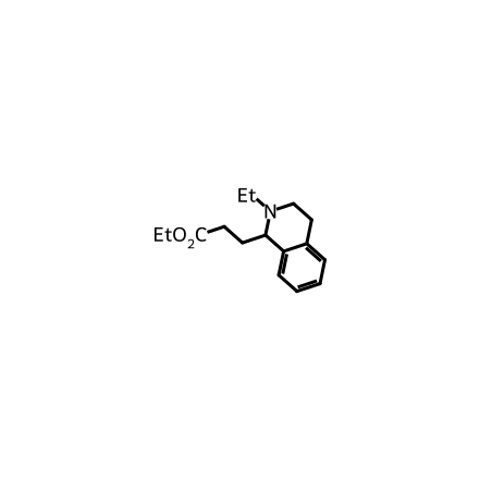 CCOC(=O)CCC1c2ccccc2CCN1CC